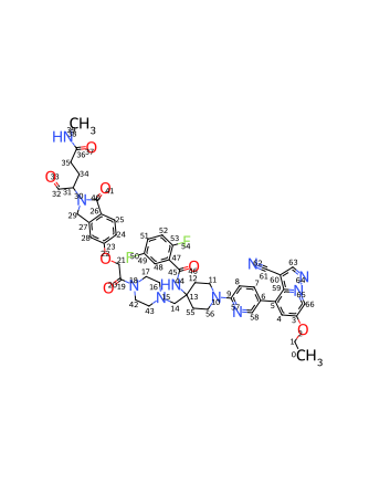 CCOc1cc(-c2ccc(N3CCC(CN4CCN(C(=O)COc5ccc6c(c5)CN(C(C=O)CCC(=O)NC)C6=O)CC4)(NC(=O)c4cc(F)ccc4F)CC3)nc2)c2c(C#N)cnn2c1